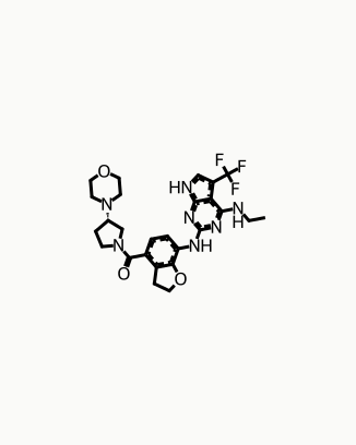 CCNc1nc(Nc2ccc(C(=O)N3CC[C@H](N4CCOCC4)C3)c3c2OCC3)nc2[nH]cc(C(F)(F)F)c12